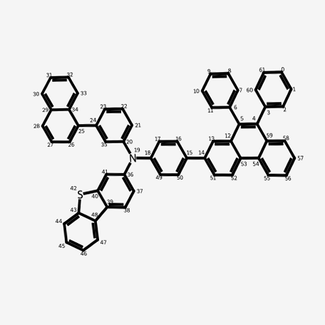 c1ccc(-c2c(-c3ccccc3)c3cc(-c4ccc(N(c5cccc(-c6cccc7ccccc67)c5)c5ccc6c(c5)sc5ccccc56)cc4)ccc3c3ccccc23)cc1